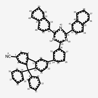 N#Cc1ccc2c(c1)C(c1ccccc1)(c1ccccc1)c1ccc(-c3cccc(-c4nc(-c5ccc6ccccc6c5)nc(-c5ccc6ccccc6c5)n4)c3)cc1-2